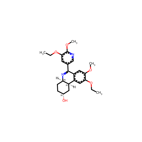 CCOc1cc2c(cc1OC)C(c1cnc(OC)c(OCC)c1)=N[C@@H]1CC[C@@H](O)C[C@H]21